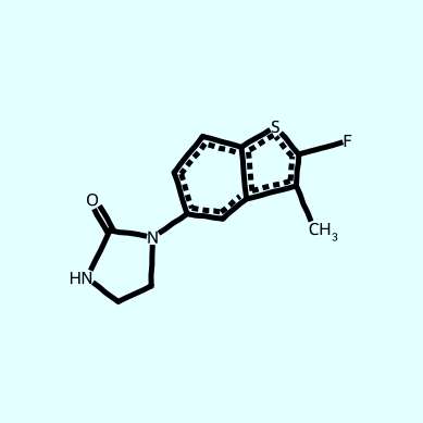 Cc1c(F)sc2ccc(N3CCNC3=O)cc12